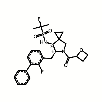 CC(C)(F)S(=O)(=O)N[C@@H]1[C@H](Cc2cccc(-c3ccccc3)c2F)N(C(=O)C2CCO2)CC12CC2